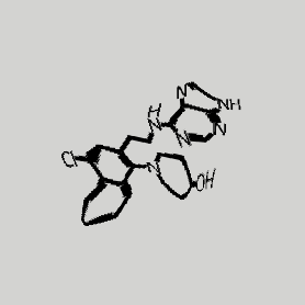 OC1CCN(c2c(CCNc3ncnc4[nH]cnc34)cc(Cl)c3ccccc23)CC1